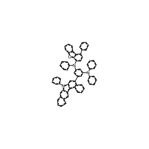 c1ccc(-c2ccc(N(c3ccccc3)c3cc(-c4cc5c(c6ccccc46)c4cc6ccccc6cc4n5-c4ccccc4)cc(N(c4ccccc4)c4ccccc4)c3)c3oc4ccccc4c23)cc1